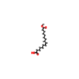 COC(=O)CCCCCCC/C=C\CCCCCC(=O)O